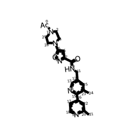 CC(=O)N1CCN(c2cc(C(=O)NCc3cnc(-c4ccnc(C)c4)c(C)c3)no2)CC1